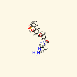 Cc1cc(N)nc(C)c1CNC(=O)c1ccc2c(c1)C1OC2c2cc(-c3ccccc3S(C)(=O)=O)ccc21